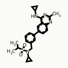 Cc1nc(NC2CC2)c2cc(-c3cccc(CN(C4CC4)S(=O)(=O)C(C)C)c3)ccc2n1